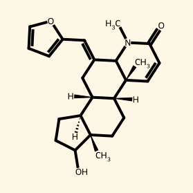 CN1C(=O)C=C[C@@]2(C)C1C(=Cc1ccco1)C[C@@H]1[C@H]2CC[C@]2(C)C(O)CC[C@@H]12